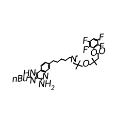 CCCCc1nc2c(N)nc3cc(CCCCCN(C)CC(C)(C)COCC(C)(C)CC(=O)Oc4c(F)c(F)cc(F)c4F)ccc3c2[nH]1